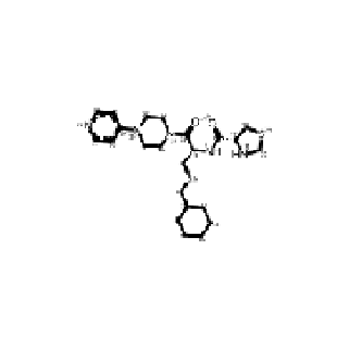 O=C(N[C@@H](CSCC1CCCCC1)C(=O)N1CCN(c2ccncc2)CC1)[C@@H]1CSCN1